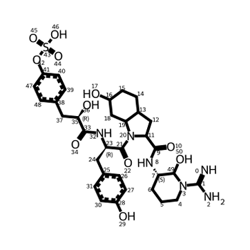 N=C(N)N1CCC[C@H](NC(=O)C2CC3CCC(O)CC3N2C(=O)[C@@H](Cc2ccc(O)cc2)NC(=O)[C@H](O)Cc2ccc(OS(=O)(=O)O)cc2)C1O